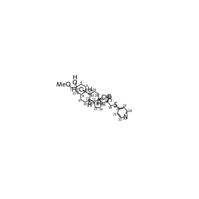 COCC1(O)CC[C@@]2(C)C(CC[C@H]3[C@@H]4CC[C@H](C(=O)CSc5ccncc5)[C@@]4(C)CC[C@@H]32)C1